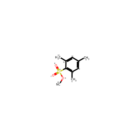 Cc1cc(C)c(S(=O)(=O)OC#N)c(C)c1